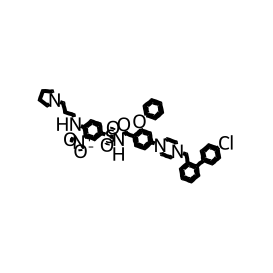 O=C(NS(=O)(=O)c1ccc(NCCCN2CCCC2)c([N+](=O)[O-])c1)c1ccc(N2CCN(Cc3ccccc3-c3ccc(Cl)cc3)CC2)cc1Oc1ccccc1